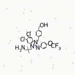 CC(C)(CN)Cn1/c(=N/c2ccc(OC(F)(F)F)cc2)n(Cc2ccc(CO)cc2)c2cc(Cl)c(Cl)cc21